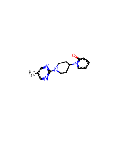 O=c1ccccn1C1CCN(c2ncc(C(F)(F)F)cn2)CC1